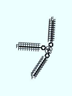 O=P(Oc1ccc(C(F)(F)C(F)(F)C(F)(F)C(F)(F)C(F)(F)C(F)(F)C(F)(F)C(F)(F)C(F)(F)C(F)(F)F)cc1)(Oc1ccc(C(F)(F)C(F)(F)C(F)(F)C(F)(F)C(F)(F)C(F)(F)C(F)(F)C(F)(F)C(F)(F)C(F)(F)F)cc1)Oc1ccc(C(F)(F)C(F)(F)C(F)(F)C(F)(F)C(F)(F)C(F)(F)C(F)(F)C(F)(F)C(F)(F)C(F)(F)F)cc1